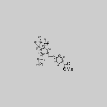 COC(=O)c1ccc(/C=C/c2cc3c(cc2CCC(C)C)C(C)(C)C(C)C3(C)C)cc1